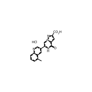 Cc1cccc2ncc(-c3cn4nc(C(=O)O)cc4c(=O)[nH]3)cc12.Cl